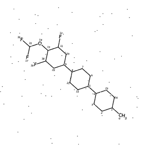 CC1CCC(C2CCC(C3CC(F)C(OC(F)F)C(F)C3)CC2)CC1